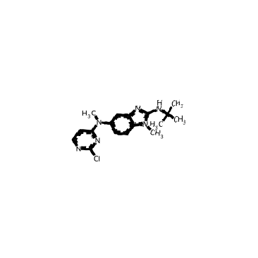 CN(c1ccc2c(c1)nc(NC(C)(C)C)n2C)c1ccnc(Cl)n1